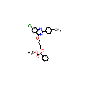 COC(=O)C(OCCCCOc1nc(-c2ccc(C)cc2)nc2cc(Cl)ccc12)c1ccccc1